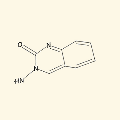 [NH]n1cc2ccccc2nc1=O